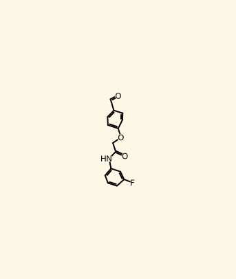 O=Cc1ccc(OCC(=O)Nc2cccc(F)c2)cc1